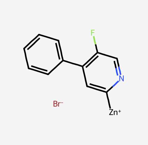 Fc1cn[c]([Zn+])cc1-c1ccccc1.[Br-]